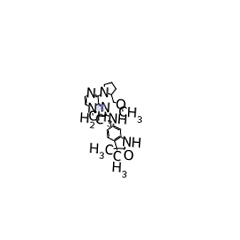 C=C(/N=c1/c(N2CCCC2COC)nccn1C)Nc1ccc2c(c1)NC(=O)C2(C)C